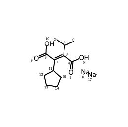 CC(C)C(C(=O)O)=C(C(=O)O)C1CCCC1.[Na].[Na]